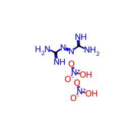 N=C(N)/N=N/C(=N)N.O=[N+]([O-])O.O=[N+]([O-])O